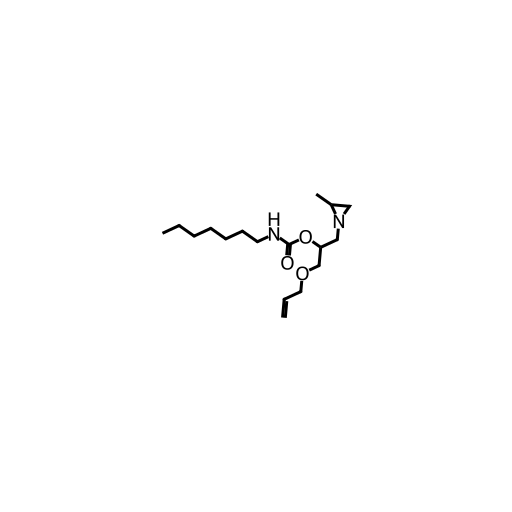 C=CCOCC(CN1CC1C)OC(=O)NCCCCCCC